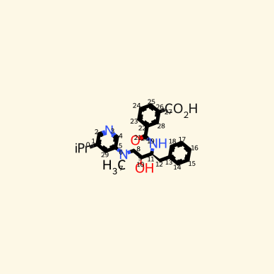 CC(C)c1cncc(N(C)C[C@@H](O)[C@H](Cc2ccccc2)NC(=O)c2cccc(C(=O)O)c2)c1